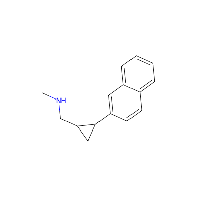 CNCC1CC1c1ccc2ccccc2c1